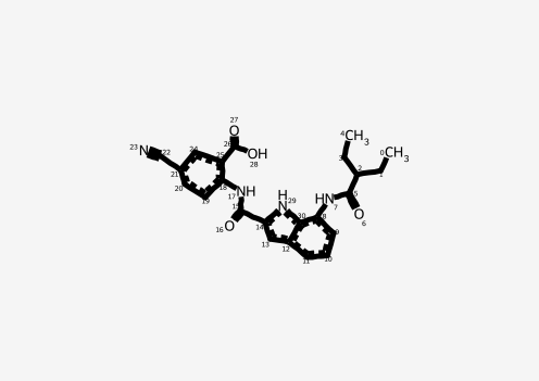 CCC(CC)C(=O)Nc1cccc2cc(C(=O)Nc3ccc(C#N)cc3C(=O)O)[nH]c12